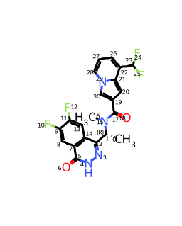 C[C@H](c1n[nH]c(=O)c2cc(F)c(F)cc12)N(C)C(=O)c1cc2c(C(F)F)cccn2c1